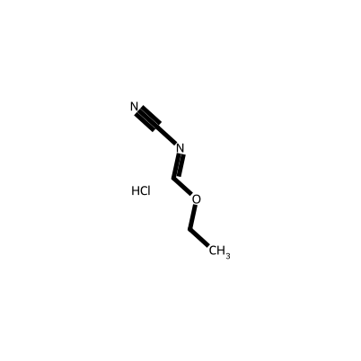 CCOC=NC#N.Cl